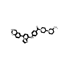 CC1CCCN(C2CCN(C(=O)c3ccc(Nc4ccc(-c5ccc6c(c5)CNCO6)n5ccnc45)cc3)CC2)C1